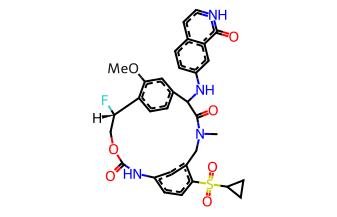 COc1cc2ccc1[C@@H](F)COC(=O)Nc1ccc(S(=O)(=O)C3CC3)c(c1)CN(C)C(=O)C2Nc1ccc2cc[nH]c(=O)c2c1